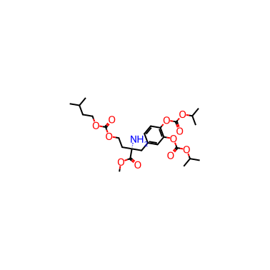 COC(=O)[C@@](N)(CCOC(=O)OCCC(C)C)Cc1ccc(OC(=O)OC(C)C)c(OC(=O)OC(C)C)c1